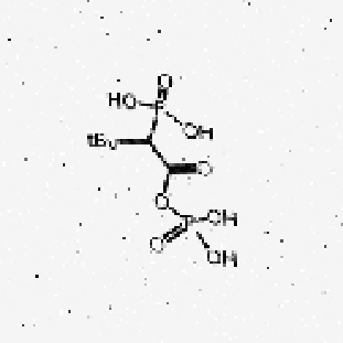 CC(C)(C)C(C(=O)OP(=O)(O)O)P(=O)(O)O